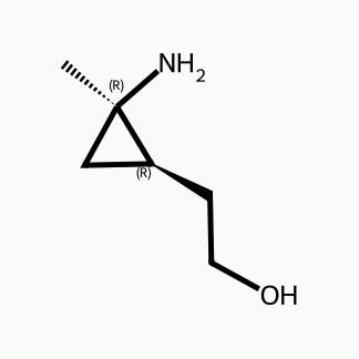 C[C@@]1(N)C[C@@H]1CCO